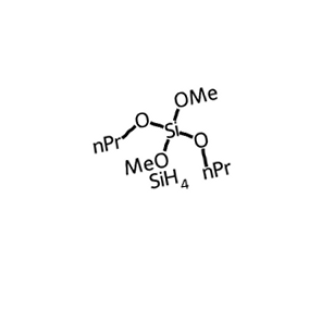 CCCO[Si](OC)(OC)OCCC.[SiH4]